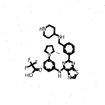 C[C@H]1CCCN1c1cccc(Nc2nc(-c3cccc(CNC4CCNCC4)c3)nc3scnc23)c1.O=C(O)C(F)(F)F